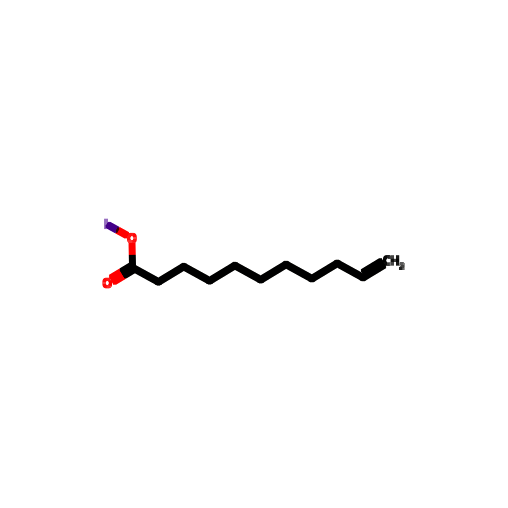 C=CCCCCCCCCC(=O)OI